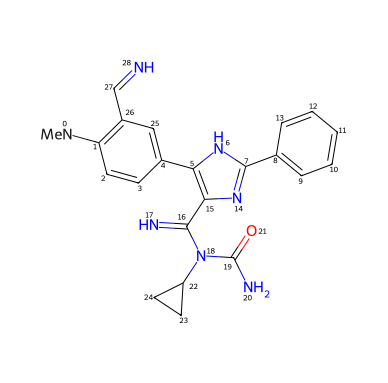 CNc1ccc(-c2[nH]c(-c3ccccc3)nc2C(=N)N(C(N)=O)C2CC2)cc1C=N